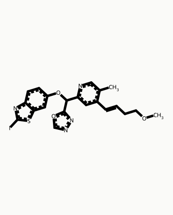 COCC/C=C/c1cc(C(Oc2ccc3nc(I)sc3c2)c2nnco2)ncc1C